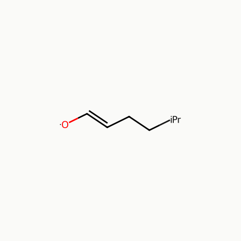 CC(C)CCC=C[O]